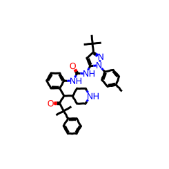 Cc1ccc(-n2nc(C(C)(C)C)cc2NC(=O)Nc2ccccc2C(C(=O)C(C)(C)c2ccccc2)C2CCNCC2)cc1